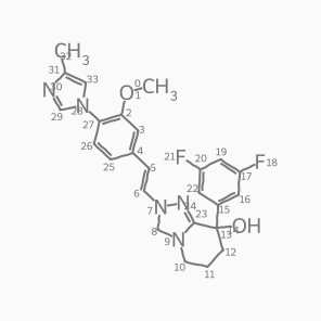 COc1cc(C=CN2CN3CCCC(O)(c4cc(F)cc(F)c4)C3=N2)ccc1-n1cnc(C)c1